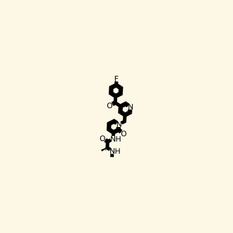 CN[C@@H](C)C(=O)Nc1cccn(Cc2cncc(C(=O)c3ccc(F)cc3)c2)c1=O